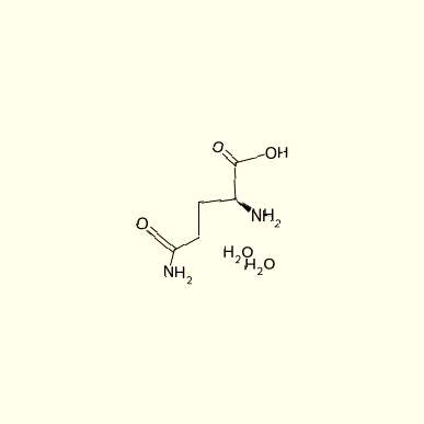 NC(=O)CC[C@H](N)C(=O)O.O.O